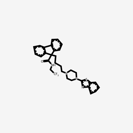 O=C(NCC(F)(F)F)C1(CCCCN2CCN(c3nc4ccccc4s3)CC2)c2ccccc2-c2ccccc21